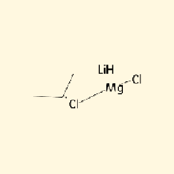 C[CH]C.[Cl][Mg][Cl].[LiH]